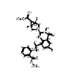 COC(=O)C1[C@H]2CN(c3nc4c(C(C)Nc5ccccc5C(=O)OC(C)(C)C)cc(C)cc4c(=O)n3C)C[C@@H]12